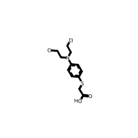 O=C(O)CSc1ccc(N(CCCl)CCCl)cc1